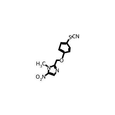 Cn1c([N+](=O)[O-])cnc1COc1ccc(SC#N)cc1